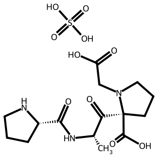 C[C@H](NC(=O)[C@@H]1CCCN1)C(=O)[C@@]1(C(=O)O)CCCN1CC(=O)O.O=S(=O)(O)O